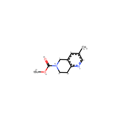 Cc1cnc2c(c1)CN(C(=O)OC(C)(C)C)CC2